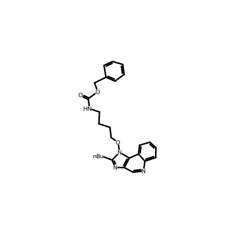 CCCCc1nc2cnc3ccccc3c2n1OCCCCNC(=O)OCc1ccccc1